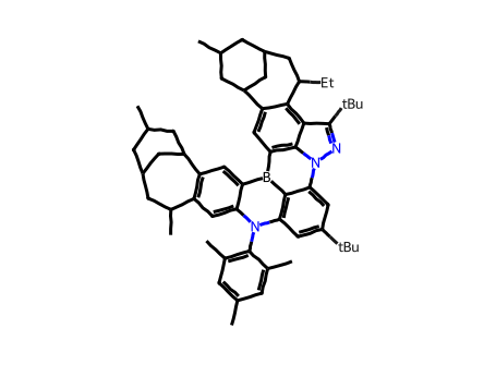 CCC1CC2CC(C)CC(C2)c2cc3c4c(c(C(C)(C)C)nn4-c4cc(C(C)(C)C)cc5c4B3c3cc4c(cc3N5c3c(C)cc(C)cc3C)C(C)CC3CC(C)CC4C3)c21